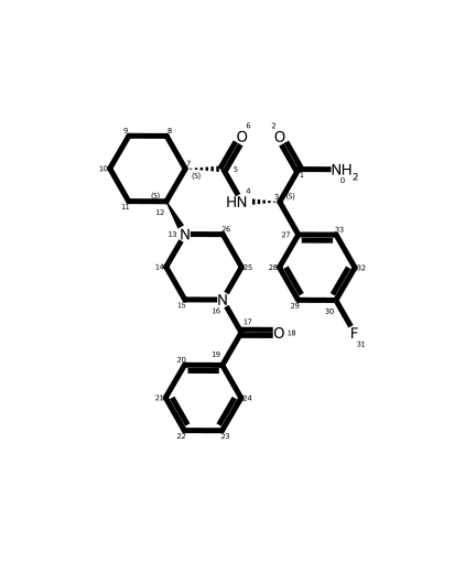 NC(=O)[C@@H](NC(=O)[C@H]1CCCC[C@@H]1N1CCN(C(=O)c2ccccc2)CC1)c1ccc(F)cc1